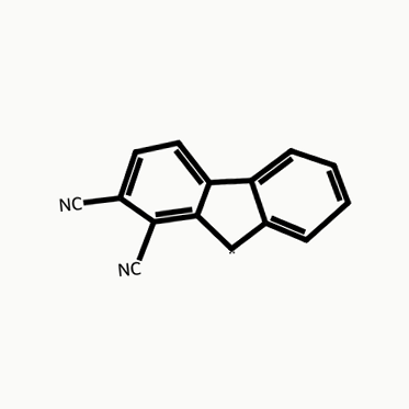 N#Cc1ccc2c(c1C#N)[C]c1ccccc1-2